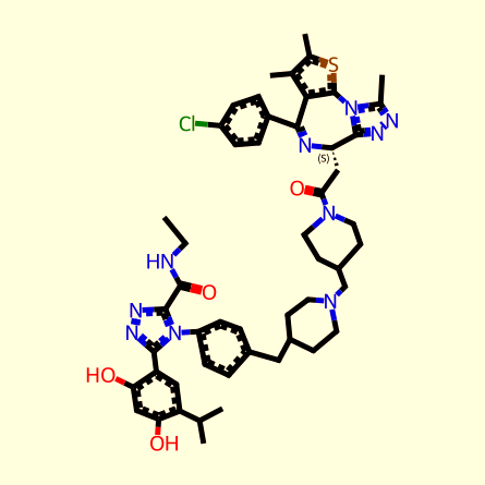 CCNC(=O)c1nnc(-c2cc(C(C)C)c(O)cc2O)n1-c1ccc(CC2CCN(CC3CCN(C(=O)C[C@@H]4N=C(c5ccc(Cl)cc5)c5c(sc(C)c5C)-n5c(C)nnc54)CC3)CC2)cc1